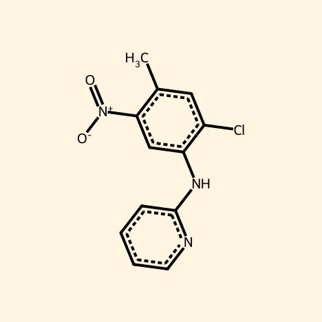 Cc1cc(Cl)c(Nc2ccccn2)cc1[N+](=O)[O-]